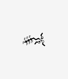 CCO[Si](CCCC(F)(F)C(F)(F)C(F)(F)F)(OCC)OCC